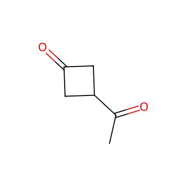 CC(=O)C1CC(=O)C1